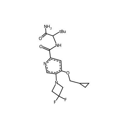 CC(C)(C)C(NC(=O)c1cc(OCC2CC2)c(N2CC(F)(F)C2)cn1)C(N)=O